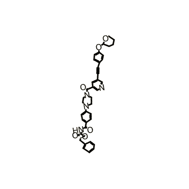 O=C(NS(=O)(=O)Cc1ccccc1)c1ccc(N2CCN(C(=O)c3cncc(C#Cc4ccc(OC5CCCCO5)cc4)c3)CC2)cc1